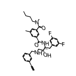 C#Cc1cccc(CNC[C@@H](O)[C@H](Cc2cc(F)cc(F)c2)NC(=O)c2cc(C)cc(C(=O)N(C)CCCC)c2)c1